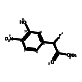 COC(=O)C(F)c1ccc([N+](=O)[O-])c(O)c1